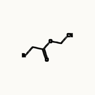 N#CCOC(=O)CBr